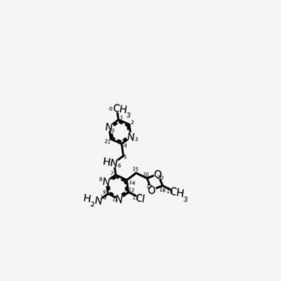 Cc1cnc(CNc2nc(N)nc(Cl)c2CC2OC(C)O2)cn1